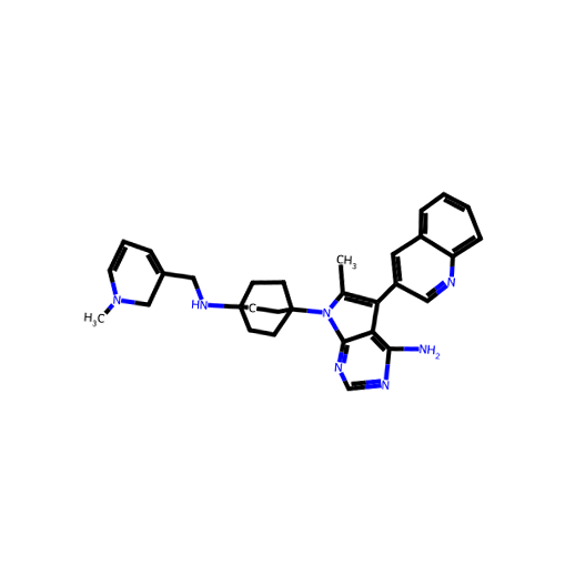 Cc1c(-c2cnc3ccccc3c2)c2c(N)ncnc2n1C12CCC(NCC3=CC=CN(C)C3)(CC1)CC2